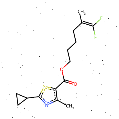 CC(CCCCOC(=O)c1sc(C2CC2)nc1C)=C(F)F